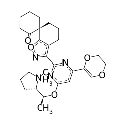 C[C@H](Oc1cc(C2=COCCO2)nc(-c2noc3c2CCC[C@@]32CCCCC2=O)n1)[C@@H]1CCCN1C